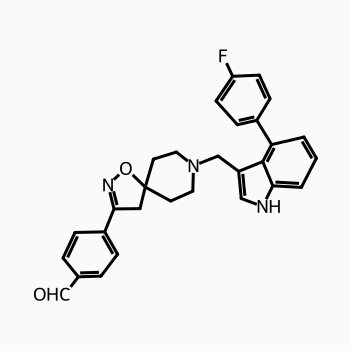 O=Cc1ccc(C2=NOC3(CCN(Cc4c[nH]c5cccc(-c6ccc(F)cc6)c45)CC3)C2)cc1